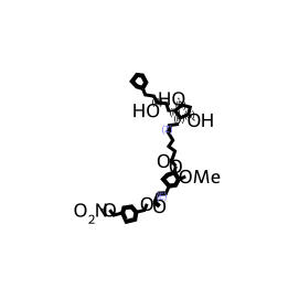 COc1cc(/C=C/C(=O)OCc2ccc(CO[N+](=O)[O-])cc2)ccc1OC(=O)CCC/C=C\C[C@@H]1[C@@H](CC[C@@H](O)CCc2ccccc2)[C@H](O)C[C@@H]1O